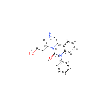 O=C(N(c1ccccc1)c1ccccc1)N1CCNCC1CCO